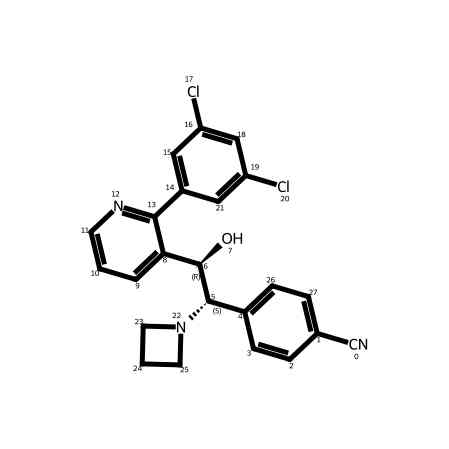 N#Cc1ccc([C@@H]([C@H](O)c2cccnc2-c2cc(Cl)cc(Cl)c2)N2CCC2)cc1